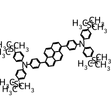 C[Si](C)(C)c1ccc(N(c2ccc(-c3ccc4ccc5c(-c6ccc(N(c7ccc([Si](C)(C)C)cc7)c7ccc([Si](C)(C)C)cc7)cc6)ccc6ccc3c4c65)cc2)c2ccc([Si](C)(C)C)cc2)cc1